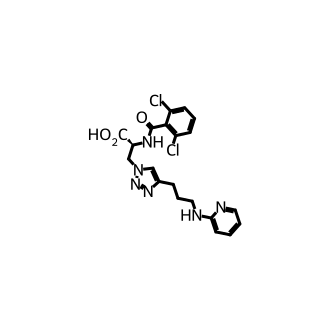 O=C(N[C@@H](Cn1cc(CCCNc2ccccn2)nn1)C(=O)O)c1c(Cl)cccc1Cl